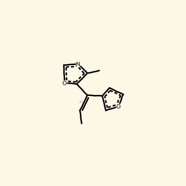 C/C=C(\c1ccoc1)c1ocnc1C